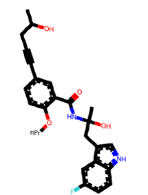 CCCOc1ccc(C#CCC(C)O)cc1C(=O)NC(C)(O)Cc1c[nH]c2ccc(F)cc12